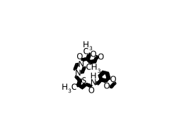 Cc1cc(C(=O)NCc2cccc3c2OCCO3)sc1CN1CCN(C(=O)c2c(C)cc(=O)oc2C)CC1